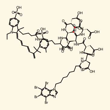 C=C(/C=C/C=C/C=C1/N(CC)c2ccc(S(=O)(=O)O)cc2C1(C)CCCC(=O)NCCCCC(NC(=O)[C@H](CC(=O)O)NC(=O)[C@H](CC(=O)O)NC(=O)[C@H](CC(=O)O)NC(=O)[C@H](CC(=O)O)NC(=O)[C@H](CC(=O)O)NC(=O)[C@@H](CC(=O)O)NC(=O)CCCCCCCn1cnc2c(Br)c(Br)c(Br)c(Br)c21)C(=O)O)C(C)(C)c1cc(S(=O)(=O)O)ccc1C